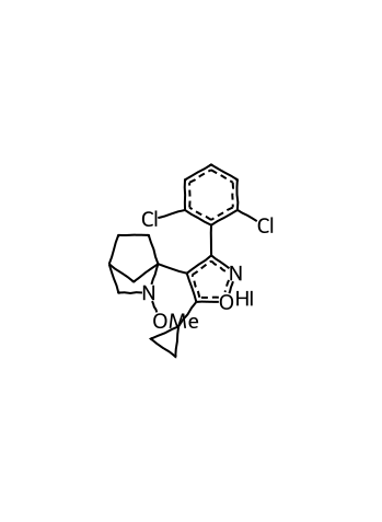 CON1CC2CCC1(c1c(-c3c(Cl)cccc3Cl)noc1C1CC1)C2.I